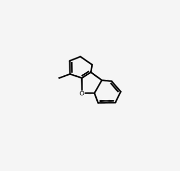 CC1=CCCC2=C1OC1C=CC=CC21